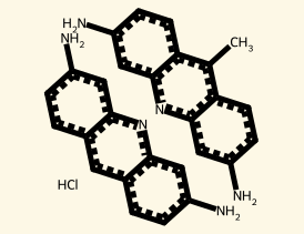 Cc1c2ccc(N)cc2nc2cc(N)ccc12.Cl.Nc1ccc2cc3ccc(N)cc3nc2c1